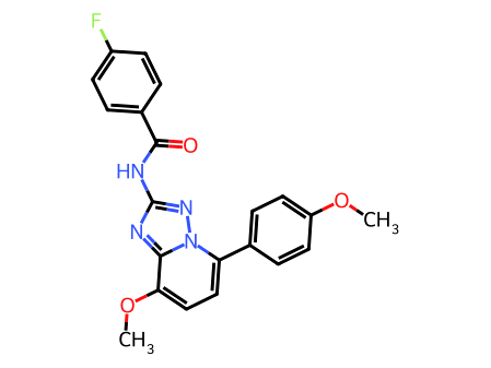 COc1ccc(-c2ccc(OC)c3nc(NC(=O)c4ccc(F)cc4)nn23)cc1